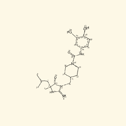 CC(C)CC1(C)NC(=N)N(CC2CCN(C(=O)Nc3ccc(O)c(O)c3)CC2)C1=O